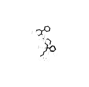 COCCCC[C@@](O)(c1cccc(Cl)c1F)[C@@H]1CCCN(C(=O)NC2CNCCC2C2CCCCC2)C1